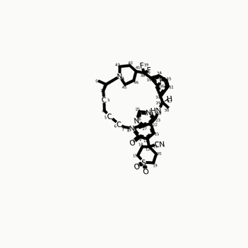 CC1CCCCCCn2c(=O)c(C3(C#N)CCS(=O)(=O)CC3)cc3c(ncnc32)N[C@H](C)c2cccc(c2F)C(F)(F)C2CCN1CC2